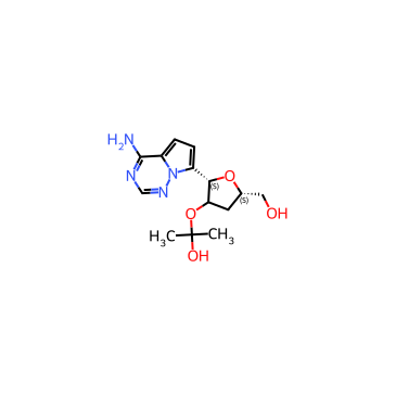 CC(C)(O)OC1C[C@@H](CO)O[C@H]1c1ccc2c(N)ncnn12